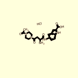 CC(=O)N1CCN(C(=O)CC(N)C(=O)Nc2ccc3[nH]c(C(=O)O)cc3c2)CC1.Cl